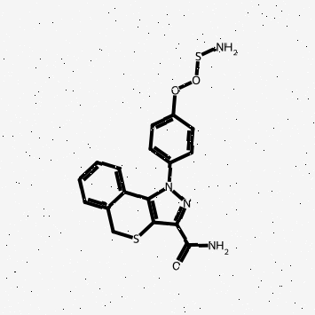 NSOOc1ccc(-n2nc(C(N)=O)c3c2-c2ccccc2CS3)cc1